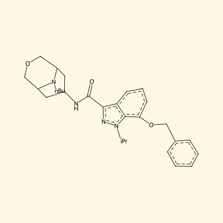 CCCCN1C2COCC1CC(NC(=O)c1nn(C(C)C)c3c(OCc4ccccc4)cccc13)C2